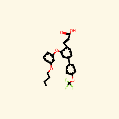 CCCCOc1cccc(Oc2cc(-c3ccc(OC(F)(F)F)cc3)ccc2/C=C/C(=O)O)c1